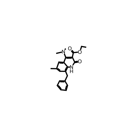 CCOC(=O)c1c(N(C)C)c2cc(C)cc(Cc3ccccc3)c2[nH]c1=O